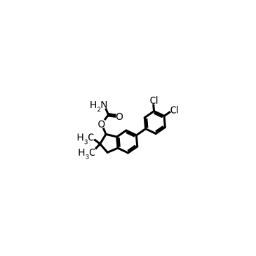 CC1(C)Cc2ccc(-c3ccc(Cl)c(Cl)c3)cc2C1OC(N)=O